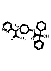 C[N+]1(C(C(N)=O)c2cccnn2)CCC(OC(=O)C(O)(c2ccccc2)C2CCCCC2)CC1